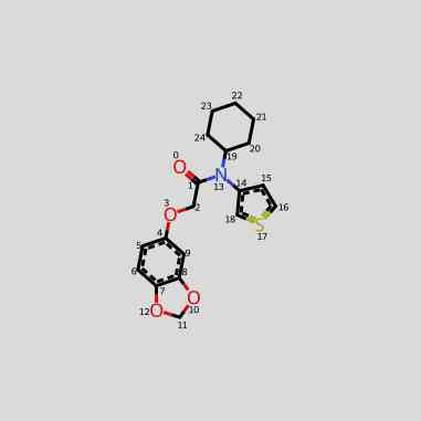 O=C(COc1ccc2c(c1)OCO2)N(c1ccsc1)C1CCCCC1